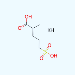 C/C(=C\CCS(=O)(=O)O)C(=O)O.[KH]